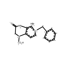 Br.O=C1CN(C(=O)O)c2cc[n+](Cc3ccccc3)cc2N1